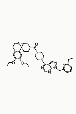 CCOc1cc2c(cc1OCC)[C@]1(CC[C@H](C(=O)N3CCN(c4ncnc5c4cnn5Cc4cccc(CC)n4)CC3)CC1)NCC2